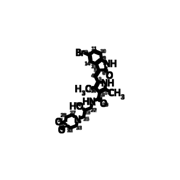 Cc1[nH]c(C=C2C(=O)Nc3ccc(Br)cc32)c(C)c1C(=O)NCC(O)CN1CCS(=O)(=O)CC1